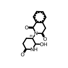 O=C1CC[C@@H](N2C(=O)Cc3ccccc3C2=O)C(O)N1